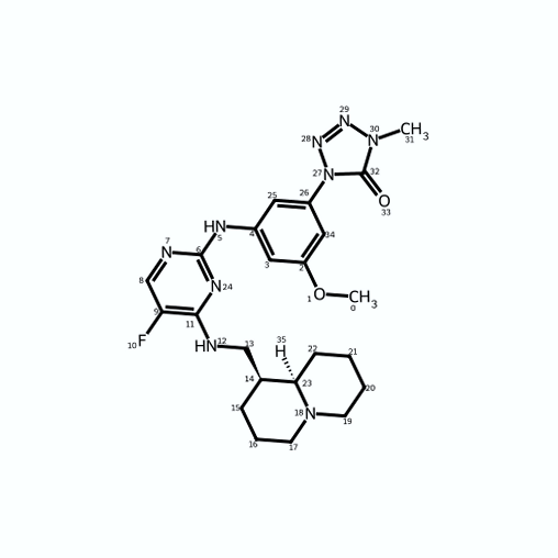 COc1cc(Nc2ncc(F)c(NC[C@@H]3CCCN4CCCC[C@H]34)n2)cc(-n2nnn(C)c2=O)c1